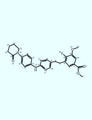 COC(=O)c1cc(CCc2cnc(Nc3ccc(N4CCCCC4=O)cc3)nc2)c(F)c(OC)c1